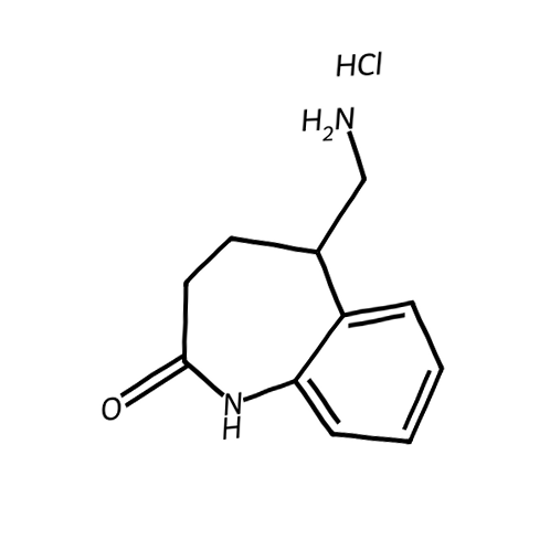 Cl.NCC1CCC(=O)Nc2ccccc21